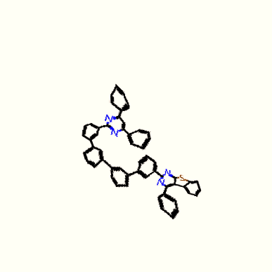 c1ccc(-c2cc(-c3ccccc3)nc(-c3cccc(-c4cccc(-c5cccc(-c6cccc(-c7nc(-c8ccccc8)c8c(n7)sc7ccccc78)c6)c5)c4)c3)n2)cc1